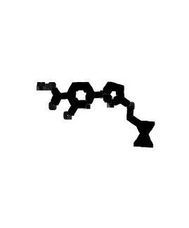 COC(=O)c1ccc(-n2ccc(OCC3CC34CC4)n2)nc1Cl